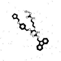 CC(C)(C)OC(=O)NCCCC[C@H](NC(=O)OCC1c2ccccc2-c2ccccc21)C(=O)OCc1ccc(OCC2CCCC2)cc1